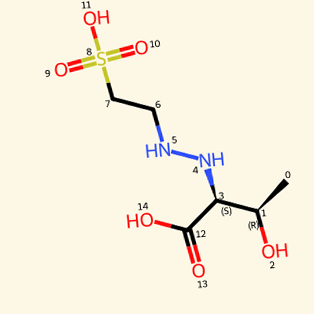 C[C@@H](O)[C@H](NNCCS(=O)(=O)O)C(=O)O